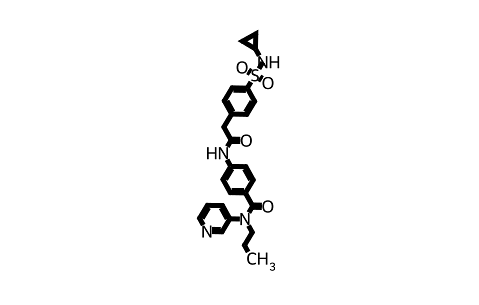 CCCN(C(=O)c1ccc(NC(=O)Cc2ccc(S(=O)(=O)NC3CC3)cc2)cc1)c1cccnc1